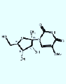 COc1cn([C@]2(C)O[C@H](CO)[C@@H](O)[C@H]2O)c(=O)[nH]c1=O